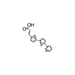 O=C(O)/C=C/c1ccc(-c2ccc(-c3cccs3)s2)s1